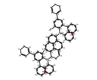 Fc1cc(C2=CCCC=C2)cc(-c2ccccc2)c1N(c1ccccc1)c1ccc2ccc3c4c(ccc1c24)=CCC3N(c1ccccc1)c1c(F)cc(C2=CCCC=C2)cc1-c1ccccc1